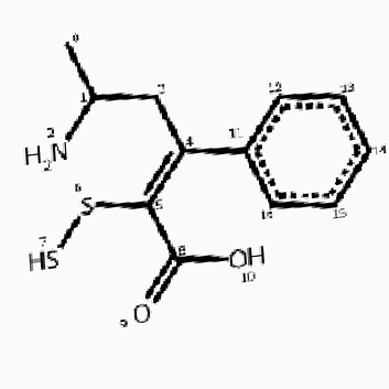 CC(N)CC(=C(SS)C(=O)O)c1ccccc1